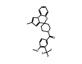 COc1ccc(C(=O)N2CCC3(CC2)Oc2ccccc2-n2cc(C)cc23)cc1C(F)(F)F